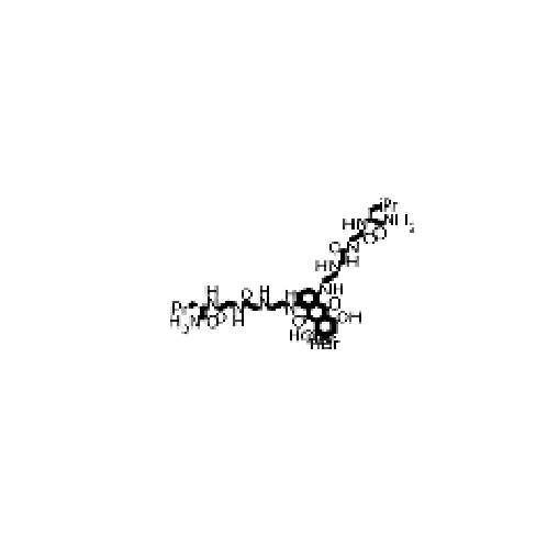 Br.Br.CC(C)C[C@H](NC(=O)CNC(=O)CNCCNc1ccc(NCCNCC(=O)NCC(=O)N[C@@H](CC(C)C)C(N)=O)c2c1C(=O)c1c(O)ccc(O)c1C2=O)C(N)=O